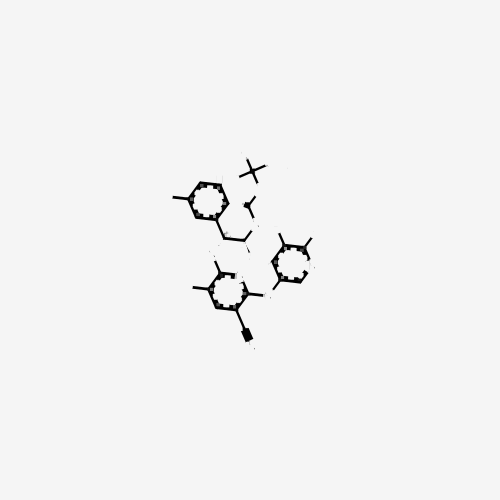 Cc1ncc(Nc2nc(N[C@H](c3cccc(F)c3)[C@H](C)NC(=O)OC(C)(C)C)c(F)cc2C#N)cc1F